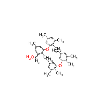 Cc1cc(C)c(C)c(Oc2cc(C)cc(C)c2C)c1.Cc1cc(C)c(C)c(Oc2cc(C)cc(C)c2C)c1.O